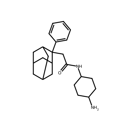 NC1CCC(NC(=O)CC2(c3ccccc3)C3CC4CC(C3)CC2C4)CC1